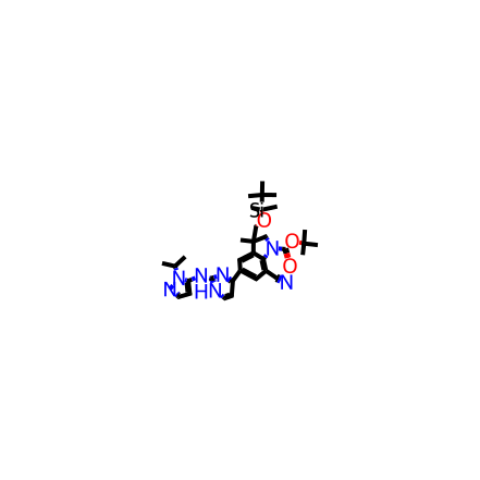 CC(C)n1nccc1Nc1nccc(-c2cc(C#N)c3c(c2)C(C)(CO[Si](C)(C)C(C)(C)C)CN3C(=O)OC(C)(C)C)n1